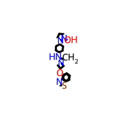 C=C(NC1CCC(N2CCCN2O)CC1)N1CC(Oc2cccc3scnc23)C1